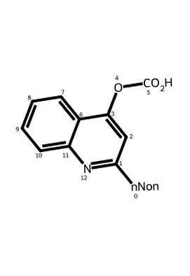 CCCCCCCCCc1cc(OC(=O)O)c2ccccc2n1